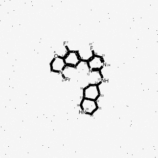 CC(C)N1CCOc2c(F)cc(-c3nc(NC4CCC5CNCCC5C4)ncc3F)cc21